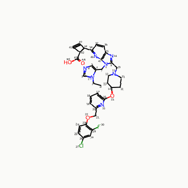 CCn1cncc1Cn1c(CN2CCC(Oc3cccc(COc4ccc(Cl)cc4F)n3)CC2)nc2ccc(C3C#CC3C(=O)O)nc21